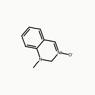 CN1C[N+]([O-])=Cc2ccccc21